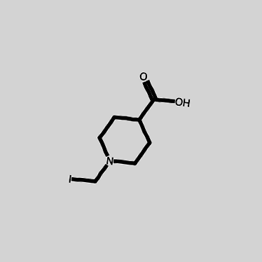 O=C(O)C1CCN(CI)CC1